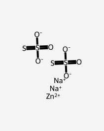 O=S([O-])([O-])=S.O=S([O-])([O-])=S.[Na+].[Na+].[Zn+2]